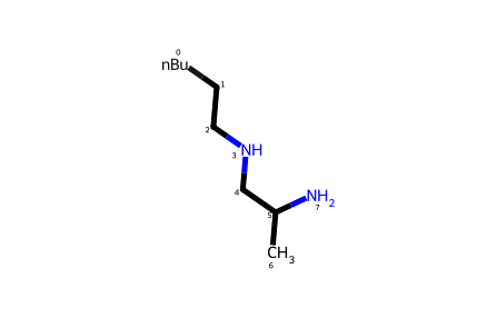 CCCCCCNCC(C)N